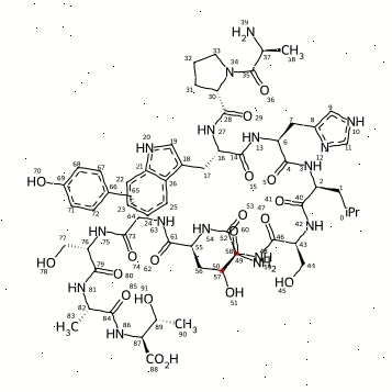 CC(C)C[C@H](NC(=O)[C@H](Cc1c[nH]cn1)NC(=O)[C@H](Cc1c[nH]c2ccccc12)NC(=O)[C@@H]1CCCN1C(=O)[C@H](C)N)C(=O)N[C@@H](CO)C(=O)N[C@@H](CO)C(=O)N[C@@H](CCC(N)=O)C(=O)N[C@@H](Cc1ccc(O)cc1)C(=O)N[C@@H](CO)C(=O)N[C@@H](C)C(=O)N[C@H](C(=O)O)[C@@H](C)O